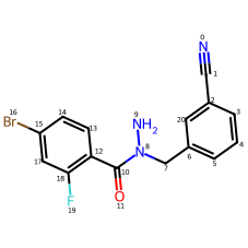 N#Cc1cccc(CN(N)C(=O)c2ccc(Br)cc2F)c1